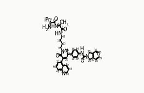 CC(C)C(N)C(=O)N[C@@H](C)C(=O)NCCCCn1nc(-c2ccc(NC(=O)N3Cc4ccncc4C3)cc2)cc(-c2cccc3ncccc23)c1=O